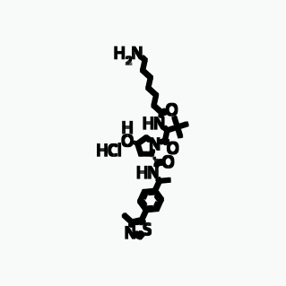 Cc1ncsc1-c1ccc(C(C)NC(=O)[C@@H]2C[C@@H](O)CN2C(=O)C(NC(=O)CCCCCCN)C(C)(C)C)cc1.Cl